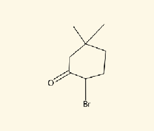 CC1(C)CCC(Br)C(=O)C1